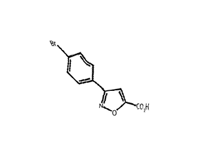 O=C(O)c1cc(-c2ccc(Br)cc2)no1